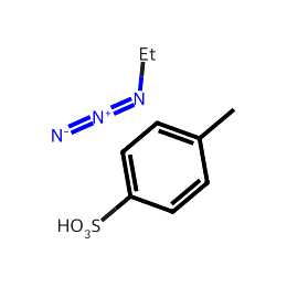 CCN=[N+]=[N-].Cc1ccc(S(=O)(=O)O)cc1